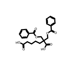 O=C(O)CCCCC(COC(=O)c1ccccc1)(COC(=O)c1ccccc1)C(=O)O